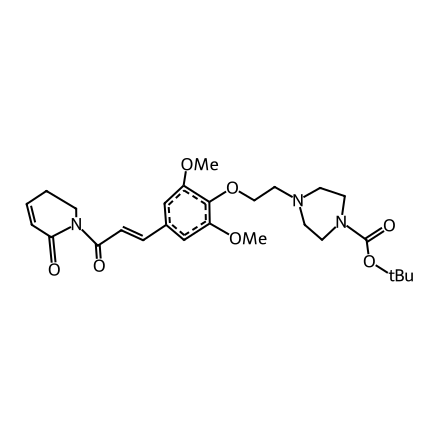 COc1cc(/C=C/C(=O)N2CCC=CC2=O)cc(OC)c1OCCN1CCN(C(=O)OC(C)(C)C)CC1